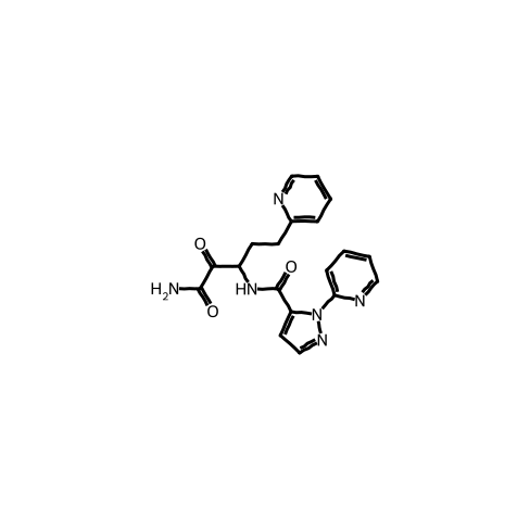 NC(=O)C(=O)C(CCc1ccccn1)NC(=O)c1ccnn1-c1ccccn1